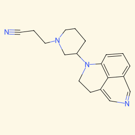 N#CCCN1CCCC(N2CCc3cncc4cccc2c34)C1